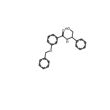 O=C(NC(CO)c1ccccc1)c1cccc(OCc2ccccc2)c1